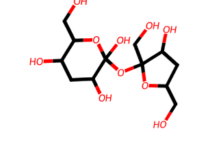 OCC1CC(O)C(CO)(OC2(O)OC(CO)C(O)CC2O)O1